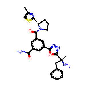 Cc1csc([C@H]2CCCN2C(=O)c2cc(C(N)=O)cc(-c3nnc([C@@](C)(N)Cc4ccccc4)o3)c2)n1